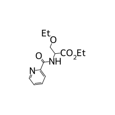 CCOCC(NC(=O)c1ccccn1)C(=O)OCC